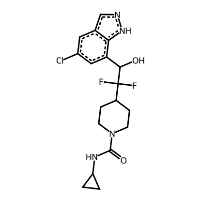 O=C(NC1CC1)N1CCC(C(F)(F)C(O)c2cc(Cl)cc3cn[nH]c23)CC1